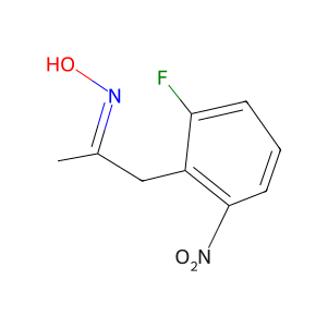 CC(Cc1c(F)cccc1[N+](=O)[O-])=NO